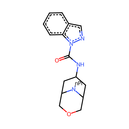 CCCN1C2COCC1CC(NC(=O)n1ncc3ccccc31)C2